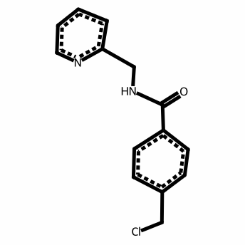 O=C(NCc1ccccn1)c1ccc(CCl)cc1